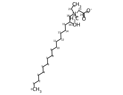 CCCCCCCCCCCCCCCCC(O)C[N+](C)(CC)CC(=O)[O-]